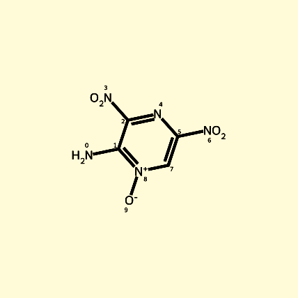 Nc1c([N+](=O)[O-])nc([N+](=O)[O-])c[n+]1[O-]